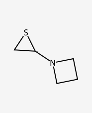 C1CN([C]2CS2)C1